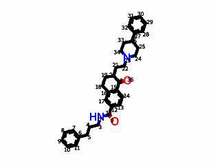 O=C(NCCCc1ccccc1)c1ccc2c(c1)CCC(CCN1CCC(c3ccccc3)CC1)C2=O